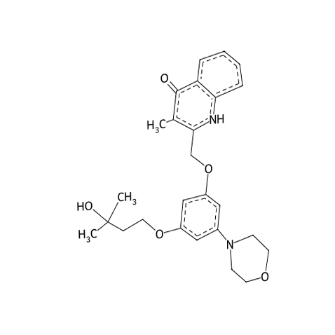 Cc1c(COc2cc(OCCC(C)(C)O)cc(N3CCOCC3)c2)[nH]c2ccccc2c1=O